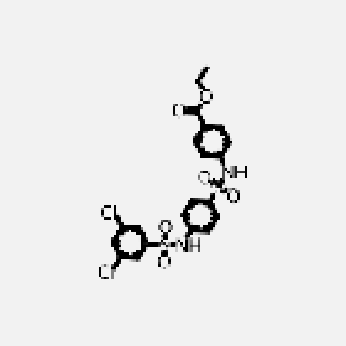 CCOC(=O)c1ccc(NS(=O)(=O)c2ccc(NS(=O)(=O)c3cc(Cl)cc(Cl)c3)cc2)cc1